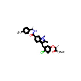 COC(=O)[C@@H](C)Oc1ccc(Cl)c(Cc2c(C)n(C)c3cc(C(=O)N[C@@H](C)c4ccc(C(C)(C)C)cc4)ccc23)c1